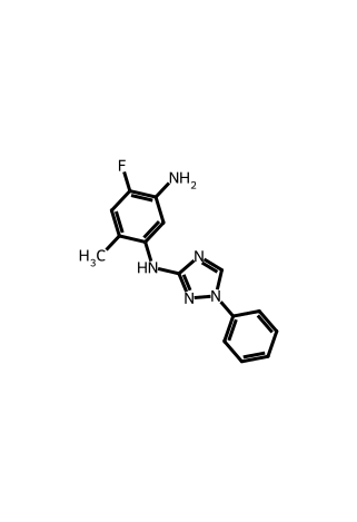 Cc1cc(F)c(N)cc1Nc1ncn(-c2ccccc2)n1